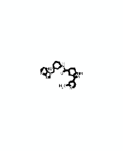 Cc1cc(-c2n[nH]c3ccc(C(=O)N[C@@H]4CCC[C@](O)(Cn5cnc6ncccc65)C4)cc23)ccn1